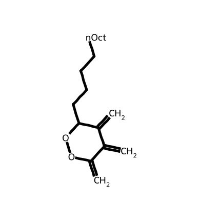 C=C1OOC(CCCCCCCCCCCC)C(=C)C1=C